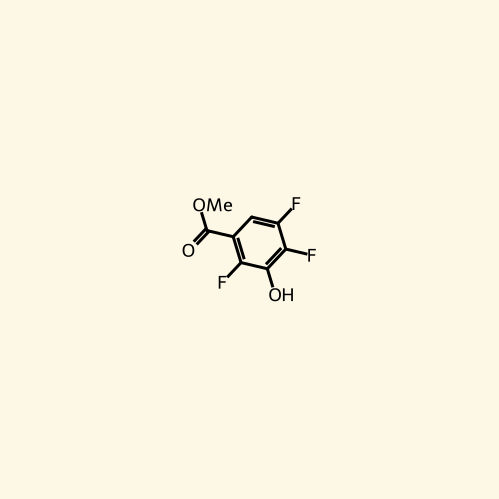 COC(=O)c1cc(F)c(F)c(O)c1F